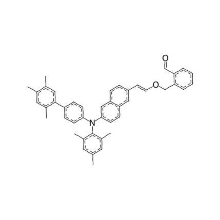 Cc1cc(C)c(N(c2ccc(-c3cc(C)c(C)cc3C)cc2)c2ccc3cc(C=COCc4ccccc4C=O)ccc3c2)c(C)c1